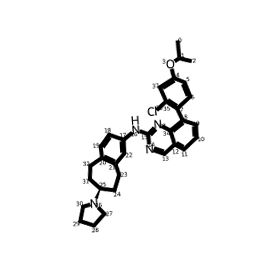 CC(C)Oc1ccc(-c2cccc3cnc(Nc4ccc5c(c4)CC[C@@H](N4CCCC4)CC5)nc23)c(Cl)c1